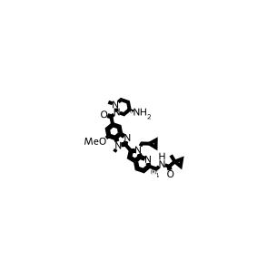 COc1cc(C(=O)N2C[C@H](N)CCN2C)cc2nc(-c3cc4ccc([C@@H](C)NC(=O)C5(C)CC5)nc4n3CC3CC3)n(C)c12